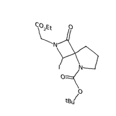 CCOC(=O)CN1C(=O)C2(CCCN2C(=O)OC(C)(C)C)C1I